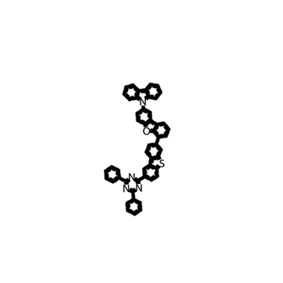 c1ccc(-c2nc(-c3ccccc3)nc(-c3ccc4sc5cc(-c6cccc7c6oc6ccc(-n8c9ccccc9c9ccccc98)cc67)ccc5c4c3)n2)cc1